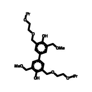 COCc1cc(-c2cc(COC)c(O)c(COCCOC(C)C)c2)cc(COCCOC(C)C)c1O